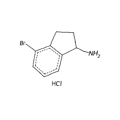 Cl.NC1CCc2c(Br)cccc21